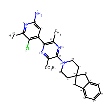 CCOC(=O)c1nc(-c2cc(N)nc(C)c2Cl)c(C)nc1N1CCC2(CC1)Cc1ccccc1C2